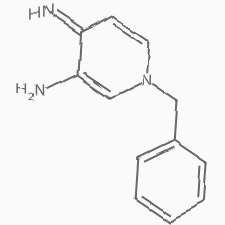 N=c1ccn(Cc2ccccc2)cc1N